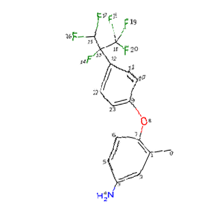 Cc1cc(N)ccc1Oc1ccc(C(F)(C(F)F)C(F)(F)F)cc1